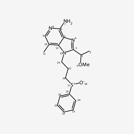 COC(C)c1nc2c(N)ncc(C)c2n1CCC[S+]([O-])c1ccccc1